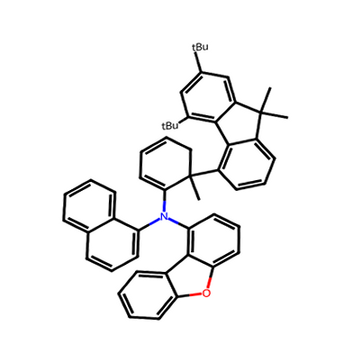 CC(C)(C)c1cc(C(C)(C)C)c2c(c1)C(C)(C)c1cccc(C3(C)CC=CC=C3N(c3cccc4ccccc34)c3cccc4oc5ccccc5c34)c1-2